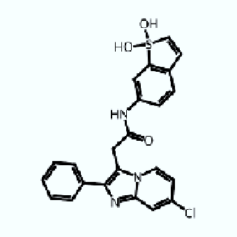 O=C(Cc1c(-c2ccccc2)nc2cc(Cl)ccn12)Nc1ccc2c(c1)S(O)(O)C=C2